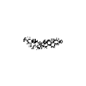 CC(=O)[C@]1(O[C@@]2(C(C)=O)CCC3C4CCC5=CC(=O)CC[C@@H]5C4CC[C@@]32C)CCC2C3CCC4=CC(=O)CC[C@@H]4C3CC[C@@]21C